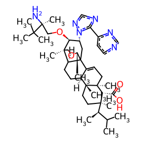 CC(C)[C@@H](C)[C@@]1(C)CC[C@]2(C)[C@H]3CC[C@@H]4C5(C[C@@H](n6ncnc6-c6ccncn6)[C@H](OC[C@](C)(N)C(C)(C)C)[C@@]4(C)CO[C@H]5C)C3=CC[C@@]2(C)[C@@H]1C(=O)O